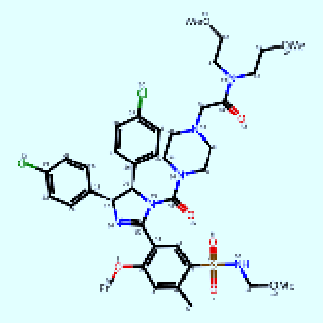 CCOc1cc(C)c(S(=O)(=O)NCOC)cc1C1=N[C@@H](c2ccc(Cl)cc2)[C@@H](c2ccc(Cl)cc2)N1C(=O)N1CCN(CC(=O)N(CCOC)CCOC)CC1